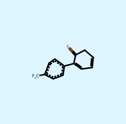 FC(F)(F)c1ccc(C2=CC=CCC2=S)cc1